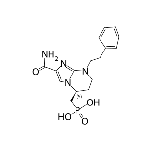 NC(=O)c1cn2c(n1)N(CCc1ccccc1)CC[C@H]2CP(=O)(O)O